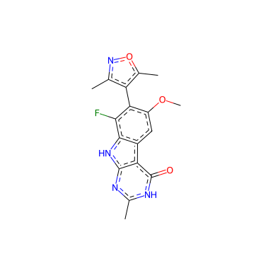 COc1cc2c([nH]c3nc(C)[nH]c(=O)c32)c(F)c1-c1c(C)noc1C